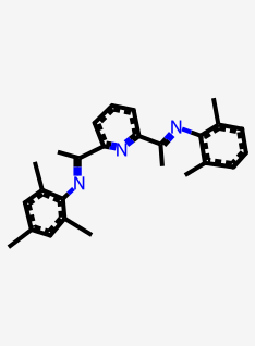 CC(=Nc1c(C)cccc1C)c1cccc(C(C)=Nc2c(C)cc(C)cc2C)n1